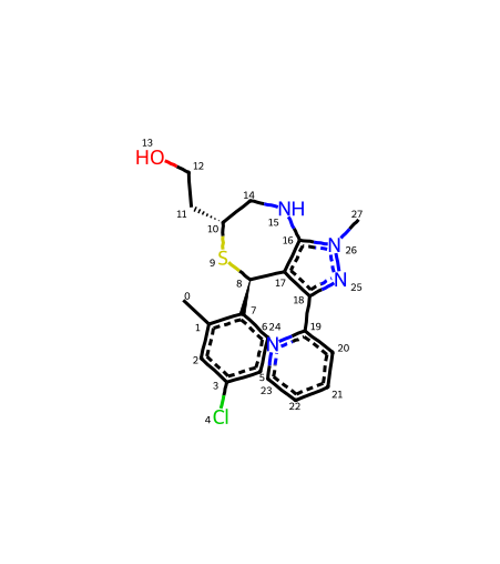 Cc1cc(Cl)ccc1[C@H]1S[C@H](CCO)CNc2c1c(-c1ccccn1)nn2C